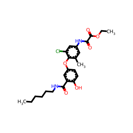 CCCCCCNC(=O)c1cc(Oc2c(C)cc(NC(=O)C(=O)OCC)cc2Cl)ccc1O